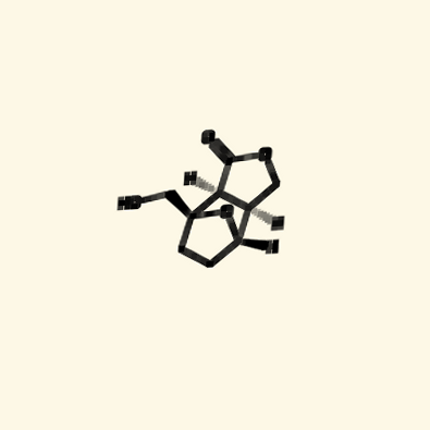 O=C1OC[C@H]2[C@@H]3CC[C@@](CO)(O3)[C@@H]12